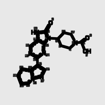 O=C(O)N1CCC(n2c(=O)[nH]c3cnc(-c4cnn5ccccc45)nc32)CC1